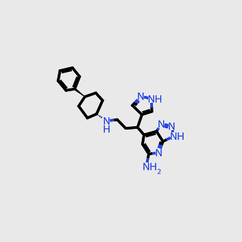 Nc1cc(C(CCN[C@H]2CC[C@H](c3ccccc3)CC2)c2cn[nH]c2)c2nn[nH]c2n1